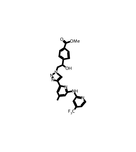 COC(=O)c1ccc(C(O)Cn2cc(-c3cc(C)cc(Nc4cc(C(F)(F)F)ccn4)n3)nn2)cc1